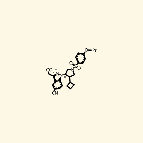 CC(C)Oc1ccc(S(=O)(=O)N2CC(C3CCC3)[C@@H](n3nc(CC(=O)O)c4cc(C#N)ccc43)C2)cc1